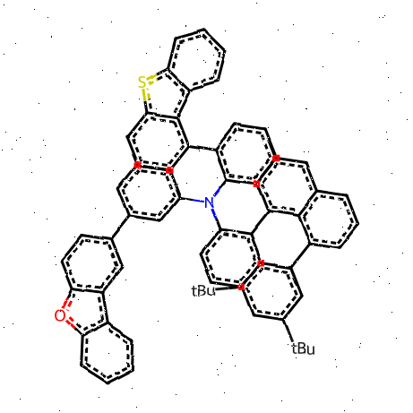 CC(C)(C)c1cc(-c2cccc3cccc(-c4ccccc4N(c4cccc(-c5ccc6oc7ccccc7c6c5)c4)c4ccccc4-c4cccc5sc6ccccc6c45)c23)cc(C(C)(C)C)c1